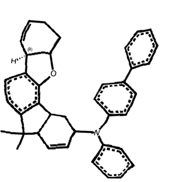 CC1(C)c2ccc3c(c2C2CC(N(c4ccccc4)c4ccc(-c5ccccc5)cc4)C=CC21)OC1CCC=C[C@H]31